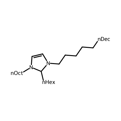 CCCCCCCCCCCCCCCN1C=CN(CCCCCCCC)C1CCCCCC